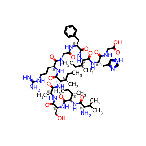 CC[C@H](C)[C@H](NC(=O)[C@H](C)NC(=O)[C@H](CO)NC(=O)[C@@H](NC(=O)[C@@H](N)C(C)C)[C@@H](C)CC)C(=O)N[C@@H](CCCNC(=N)N)C(=O)NCC(=O)N[C@@H](Cc1ccccc1)C(=O)N[C@H](C(=O)N[C@@H](Cc1c[nH]cn1)C(=O)NCC(=O)O)[C@@H](C)CC